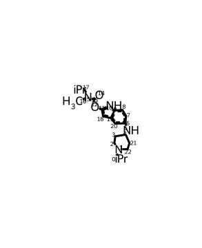 CC(C)N1CCC(Nc2ccc3[nH]c(OC(=O)N(C)C(C)C)cc3c2)CC1